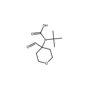 CC(C)(C)N(C(=O)O)C1(C=O)CCOCC1